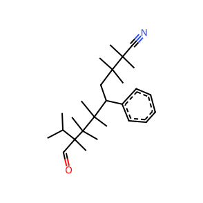 CC(C)C(C)(C=O)C(C)(C)C(C)(C)C(CC(C)(C)C(C)(C)C#N)c1ccccc1